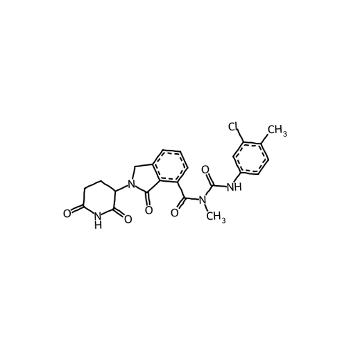 Cc1ccc(NC(=O)N(C)C(=O)c2cccc3c2C(=O)N(C2CCC(=O)NC2=O)C3)cc1Cl